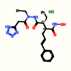 CC(C)C[C@@H](C(=O)NN(CC(C)C)C(=O)Cc1nnn[nH]1)[C@H](CC=Cc1ccccc1)C(=O)NO.Cl